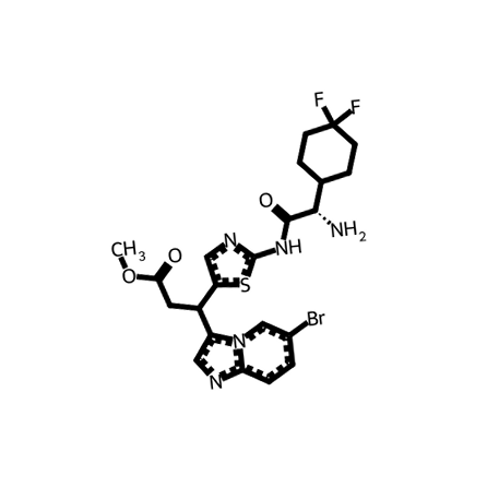 COC(=O)CC(c1cnc(NC(=O)[C@@H](N)C2CCC(F)(F)CC2)s1)c1cnc2ccc(Br)cn12